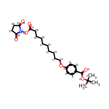 CC(C)(C)OC(=O)c1ccc(OCCCCCCCCCC(=O)ON2C(=O)CCC2=O)cc1